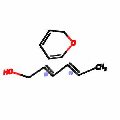 C/C=C/C=C/CO.C1=CCOC=C1